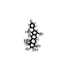 CC(=O)C1=C(O)C(C(C)C)[C@@]2(C)C[C@@]3(C)Cc4c(C(C)C)cc(-c5ccc(F)cc5F)c(O)c4C(=O)C3=C(O)[C@@]2(O)C1=O